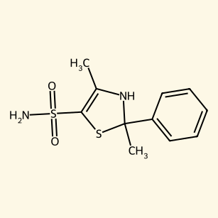 CC1=C(S(N)(=O)=O)SC(C)(c2ccccc2)N1